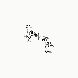 CC(=O)CC(=O)N[C@H](CCCC[C@@H](C)OC(C)=O)COP(=O)(O)OCCNC(=O)NCCOP(=O)(O)OC[C@@H](COCC[C@@H](C)OC(C)=O)NC(=O)CC(C)=O